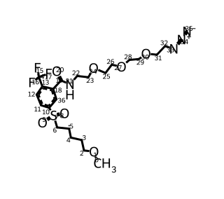 COCCC[CH]CS(=O)(=O)c1ccc(C(F)(F)F)c(C(=O)NCCOCCOCCOCCN=[N+]=[N-])c1